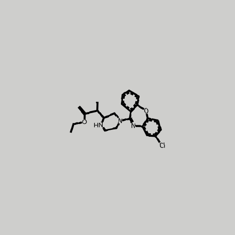 C=C(OCC)C(C)C1CN(C2=Nc3cc(Cl)ccc3Oc3ccccc32)CCN1